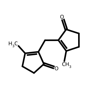 CC1=C(CC2=C(C)CCC2=O)C(=O)CC1